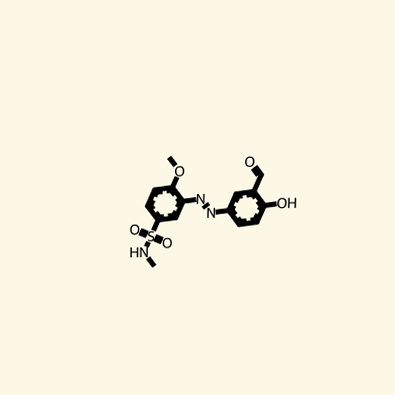 CNS(=O)(=O)c1ccc(OC)c(N=Nc2ccc(O)c(C=O)c2)c1